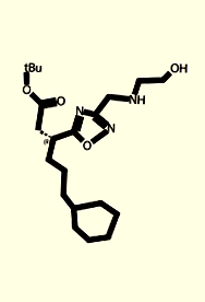 CC(C)(C)OC(=O)C[C@@H](CCCC1CCCCC1)c1nc(CNCCO)no1